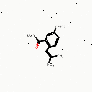 CCCCCc1ccc(/C=C(\C)[N+](=O)[O-])c(C(=O)OC)c1